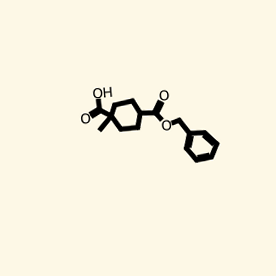 CC1(C(=O)O)CCC(C(=O)OCc2ccccc2)CC1